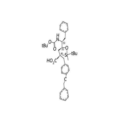 CC(C)(C)OC(=O)N[C@@H](Cc1ccccc1)[C@H](C[C@@H](Cc1ccc(CCc2ccccc2)cc1)C(=O)O)O[Si](C)(C)C(C)(C)C